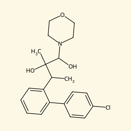 CC(c1ccccc1-c1ccc(Cl)cc1)C(C)(O)C(O)N1CCOCC1